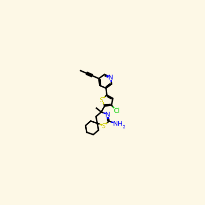 CC#Cc1cncc(-c2cc(Cl)c(C3(C)CC4(CCCCC4)SC(N)=N3)s2)c1